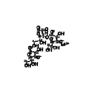 O=C1O[C@H](C(O)CO)C([O-])=C1O.O=C1O[C@H](C(O)CO)C([O-])=C1O.O=C1O[C@H](C(O)CO)C([O-])=C1O.[La+3]